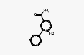 Cl.NC(=O)c1cccc(-c2ccccc2)c1